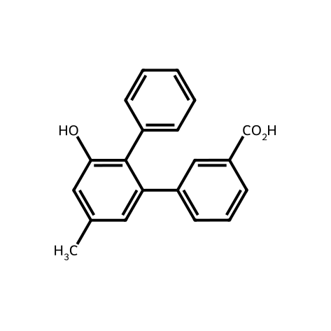 Cc1cc(O)c(-c2ccccc2)c(-c2cccc(C(=O)O)c2)c1